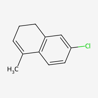 CC1=CCCc2cc(Cl)ccc21